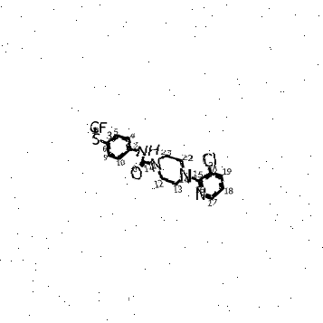 O=C(Nc1ccc(SC(F)(F)F)cc1)N1CCN(c2ncccc2Cl)CC1